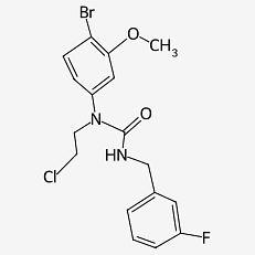 COc1cc(N(CCCl)C(=O)NCc2cccc(F)c2)ccc1Br